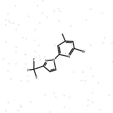 Cc1cc(Br)nc(-n2ccc(C(F)(F)F)n2)c1